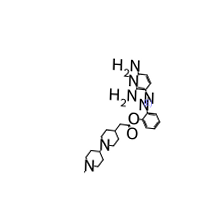 CN1CCC(N2CCC(CC(=O)Oc3ccccc3/N=N/c3ccc(N)nc3N)CC2)CC1